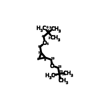 CC(C)(C)COCC1CC1COCC(C)(C)C